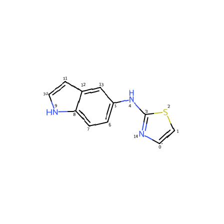 [c]1csc(Nc2ccc3[nH]ccc3c2)n1